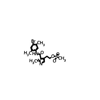 Cc1cc(NC(=O)c2c(CCOS(C)(=O)=O)cnn2C)c(C)cc1Br